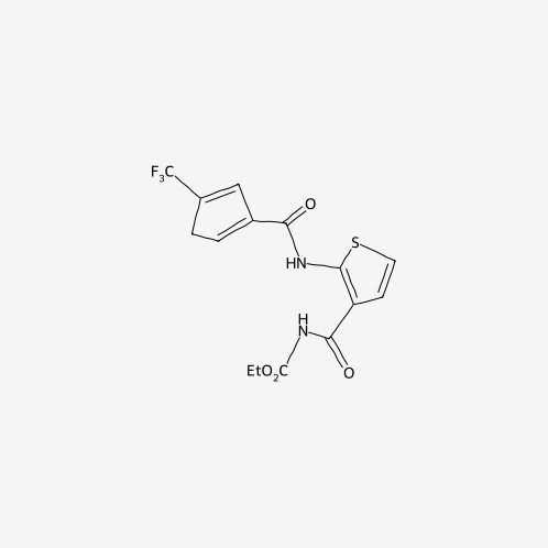 CCOC(=O)NC(=O)c1ccsc1NC(=O)C1=CCC(C(F)(F)F)=C1